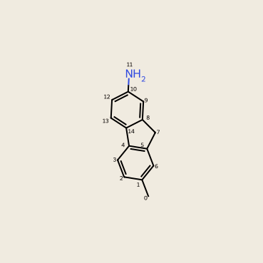 Cc1ccc2c(c1)Cc1cc(N)ccc1-2